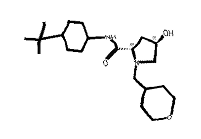 CC(C)(C)C1CCC(NC(=O)[C@@H]2C[C@@H](O)CN2CC2CCOCC2)CC1